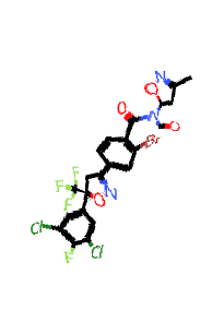 CC1=NOC(N(C=O)C(=O)c2ccc(C3=NO[C@@](c4cc(Cl)c(F)c(Cl)c4)(C(F)(F)F)C3)cc2Br)C1